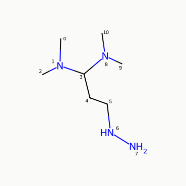 CN(C)C(CCNN)N(C)C